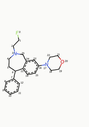 FCCN1CCC(c2ccccc2)c2ccc(N3CCOCC3)cc2C1